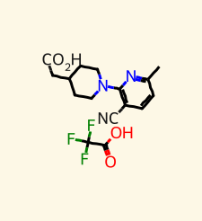 Cc1ccc(C#N)c(N2CCC(CC(=O)O)CC2)n1.O=C(O)C(F)(F)F